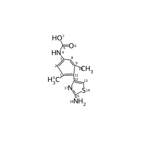 Cc1cc(NC(=O)O)cc(C)c1-c1csc(N)n1